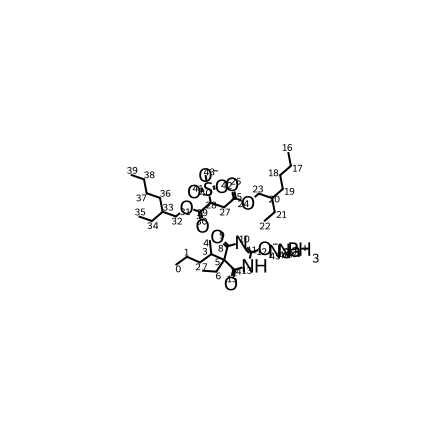 CCCC(C)C1(CC)C(=O)N=C([O-])NC1=O.CCCCC(CC)COC(=O)CC(C(=O)OCC(CC)CCCC)S(=O)(=O)[O-].P.[Na+].[Na+]